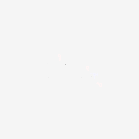 Cc1ccc2c(c1)C1(CC1)C(CCC1CCC(=O)NC1=O)CC2=O